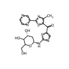 Cc1nc(-c2cnccn2)sc1C(=O)c1cnc(N[C@@H]2C[C@@H](O)C(O)C(CO)O2)s1